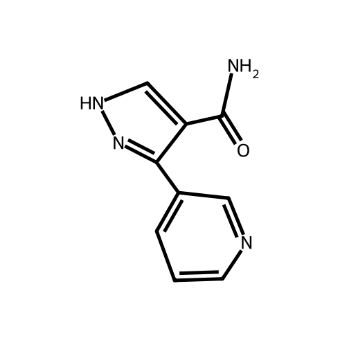 NC(=O)c1c[nH]nc1-c1cccnc1